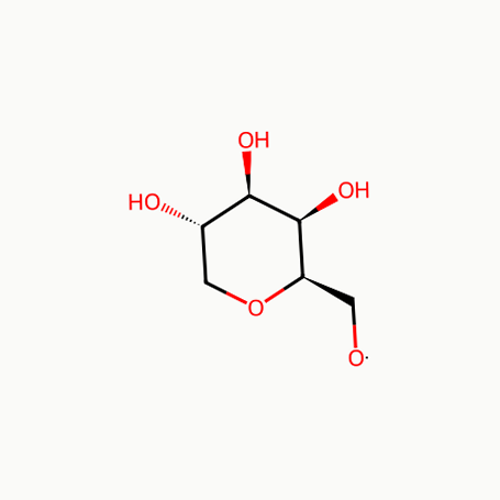 [O]C[C@H]1OC[C@H](O)[C@@H](O)[C@H]1O